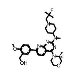 COc1ccc(-c2ccc3c(N4CCOC[C@@H]4C)nc(N(C)C4CCN(CC(C)(C)F)CC4)nc3n2)cc1CO